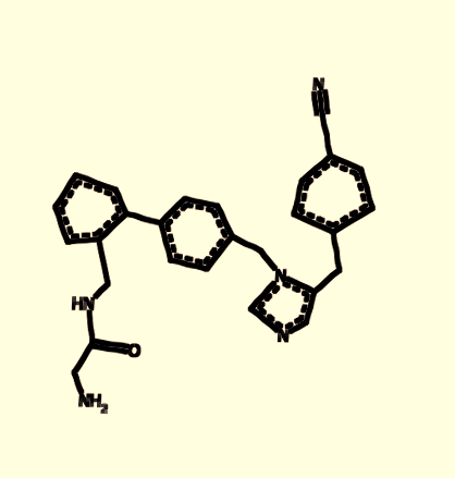 N#Cc1ccc(Cc2cncn2Cc2ccc(-c3ccccc3CNC(=O)CN)cc2)cc1